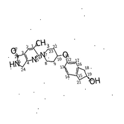 Cc1cc2c(nc1N1CCC(Oc3ccc4c(c3)C[C@@H](O)C4)CC1)CNC2=O